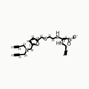 C#CCNC(=C[N+](=O)[O-])NCCSCc1ccc(CN(CC#C)CC#C)o1